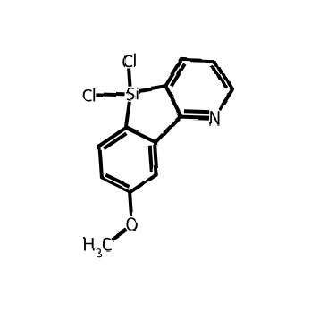 COc1ccc2c(c1)-c1ncccc1[Si]2(Cl)Cl